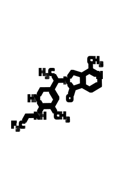 CC1=C(NCC(F)(F)F)NCC(C(C)N2Cc3c(ccnc3C)C2=O)=C1